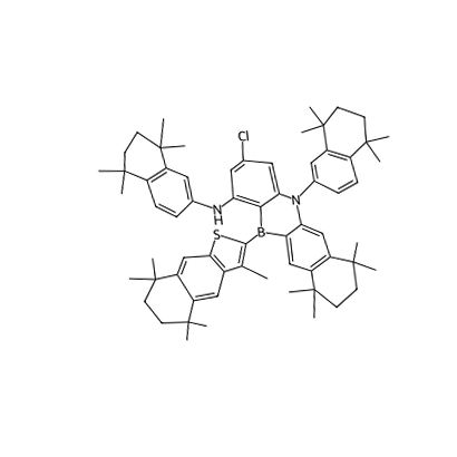 Cc1c(B2c3cc4c(cc3N(c3ccc5c(c3)C(C)(C)CCC5(C)C)c3cc(Cl)cc(Nc5ccc6c(c5)C(C)(C)CCC6(C)C)c32)C(C)(C)CCC4(C)C)sc2cc3c(cc12)C(C)(C)CCC3(C)C